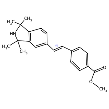 COC(=O)c1ccc(/C=C/c2ccc3c(c2)C(C)(C)NC3(C)C)cc1